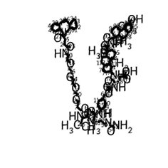 CC(C)[C@H](NC(=O)CCOCCOCCOCCOCCNC(=O)CCC(=O)N1Cc2ccccc2C#Cc2ccccc21)C(=O)N[C@@H](CCCNC(N)=O)C(=O)Nc1ccc(COC(=O)N[C@@H](CCC(=O)O)C(=O)Nc2ccc3c(c2)[C@@]2(C)CCC[C@](C)(C(=O)NC(=O)[C@@]4(C)CCC[C@]5(C)c6cc(O)ccc6CC[C@@H]45)[C@@H]2CC3)cc1